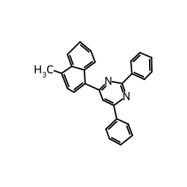 Cc1ccc(-c2cc(-c3ccccc3)nc(-c3ccccc3)n2)c2ccccc12